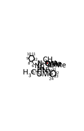 COC(C)C1=NN(Cc2ccccc2)C(C(C)OC)N1N[C@H](c1ccccc1)C(OC)OC